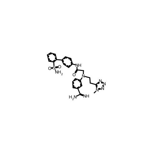 Cn1nnnc1CCN(CC(=O)Nc1ccc(-c2ccccc2S(N)(=O)=O)cc1)c1cccc(C(=N)N)c1